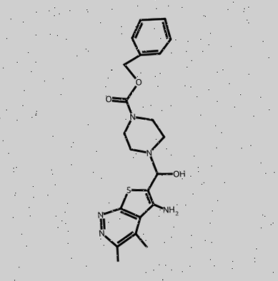 Cc1nnc2sc(C(O)N3CCN(C(=O)OCc4ccccc4)CC3)c(N)c2c1C